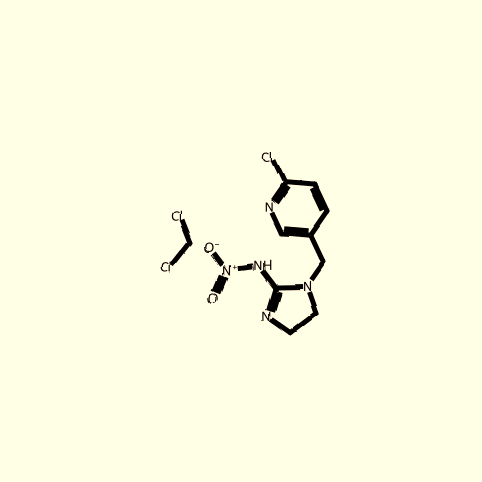 ClCCl.O=[N+]([O-])NC1=NCCN1Cc1ccc(Cl)nc1